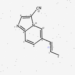 C/C=C/c1ccc2ncc(C#N)n2c1